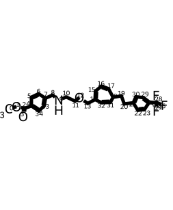 COC(=O)c1ccc(CNCCOCC2=CC=CC(CCc3ccc(C(F)(F)F)cc3)C=C2)cc1